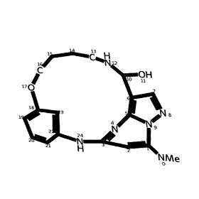 CNc1cc2nc3c(cnn13)C(O)NCCCCOc1cccc(c1)N2